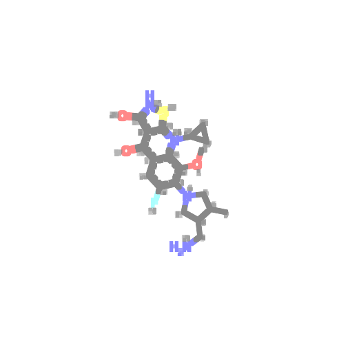 COc1c(N2CC(C)C(CN)C2)c(F)cc2c(=O)c3c(=O)[nH]sc3n(C3CC3)c12